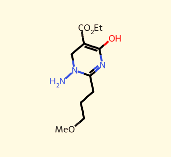 CCOC(=O)C1=C(O)N=C(CCCOC)N(N)C1